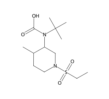 CCS(=O)(=O)N1CCC(C)C(N(C(=O)O)C(C)(C)C)C1